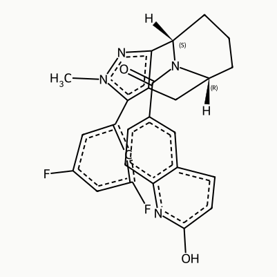 Cn1nc2c(c1-c1cc(F)cc(F)c1)C[C@H]1CCC[C@@H]2N1C(=O)c1ccc2nc(O)ccc2c1